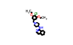 CCOc1cc(CN2CCC(Nc3nccc4ccccc34)CC2)cc(OCC)c1Cl